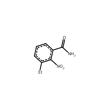 CCc1cccc(C(N)=O)c1[N+](=O)[O-]